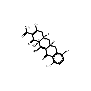 N#Cc1ccc(O)c2c1C[C@H]1C[C@H]3CC(O)=C(C(N)=O)C(=O)[C@@]3(O)C(O)=C1C2=O